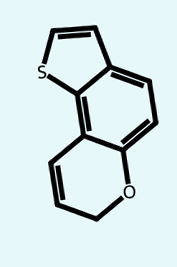 C1=Cc2c(ccc3ccsc23)OC1